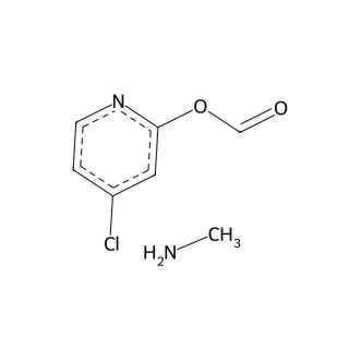 CN.O=COc1cc(Cl)ccn1